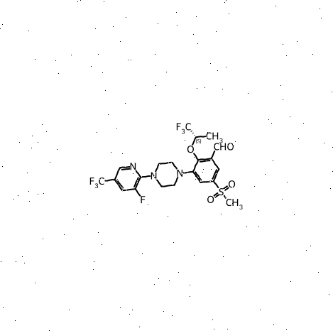 C[C@H](Oc1c(C=O)cc(S(C)(=O)=O)cc1N1CCN(c2ncc(C(F)(F)F)cc2F)CC1)C(F)(F)F